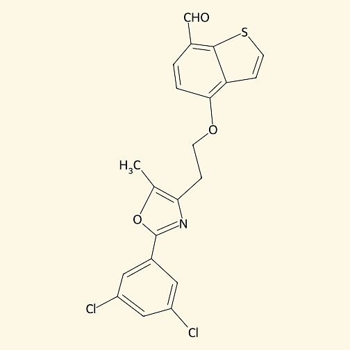 Cc1oc(-c2cc(Cl)cc(Cl)c2)nc1CCOc1ccc(C=O)c2sccc12